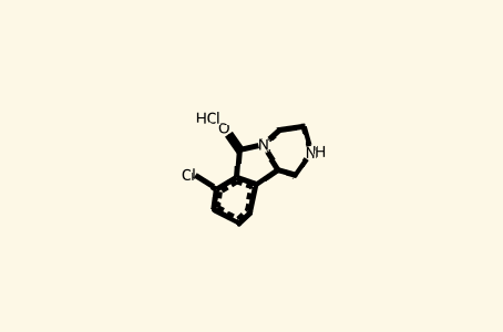 Cl.O=C1c2c(Cl)cccc2C2CNCCN12